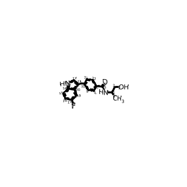 CC(CO)NC(=O)c1ccc(-c2c[nH]c3ccc(F)cc23)cc1